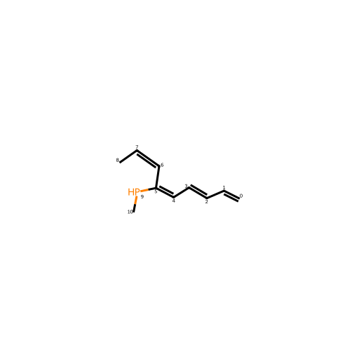 C=C/C=C/C=C(\C=C/C)PC